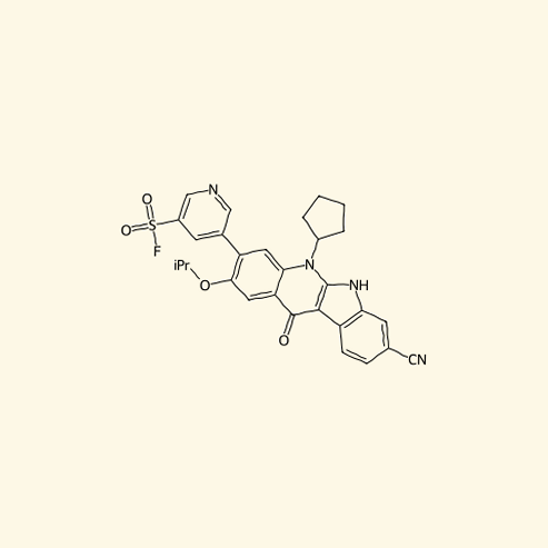 CC(C)Oc1cc2c(=O)c3c4ccc(C#N)cc4[nH]c3n(C3CCCC3)c2cc1-c1cncc(S(=O)(=O)F)c1